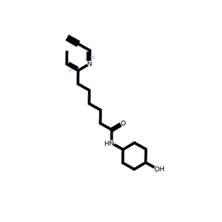 C#C/C=N\C(=C/C)CCCCCC(=O)NC1CCC(O)CC1